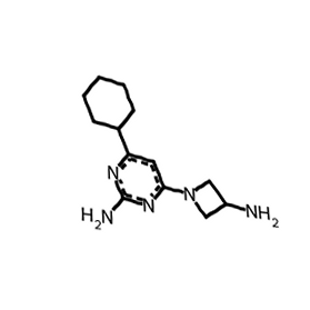 Nc1nc(C2CCCCC2)cc(N2CC(N)C2)n1